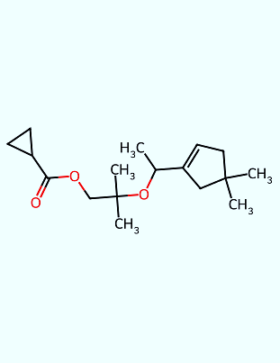 CC(OC(C)(C)COC(=O)C1CC1)C1=CCC(C)(C)C1